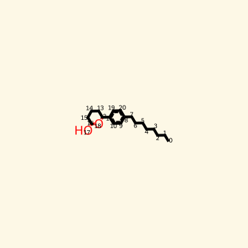 CCCCCCCCc1ccc(C2CCCC(O)O2)cc1